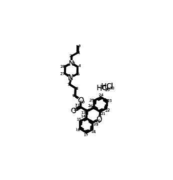 C=CCN1CCN(CCCOC(=O)C2c3ccccc3Oc3ccccc32)CC1.Cl.Cl